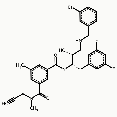 C#CCN(C)C(=O)c1cc(C)cc(C(=O)N[C@@H](Cc2cc(F)cc(F)c2)[C@H](O)CNCc2cccc(CC)c2)c1